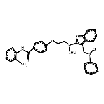 CCN(Cc1c(N(C=O)CCOc2ccc(C(=O)Nc3ccccc3N)cc2)oc2ccccc12)c1ccccc1